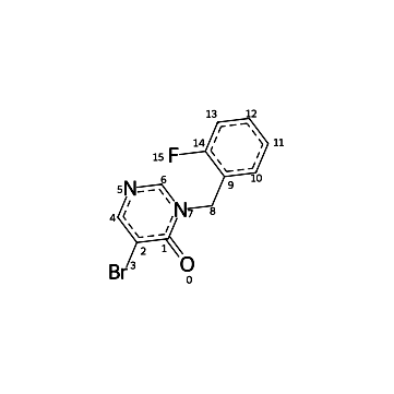 O=c1c(Br)cncn1Cc1ccccc1F